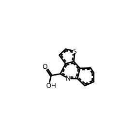 O=C(O)c1nc2ccccc2c2sccc12